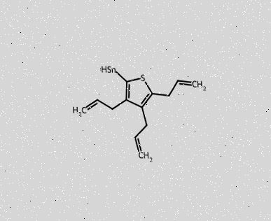 C=CCc1s[c]([SnH])c(CC=C)c1CC=C